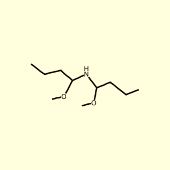 CCCC(NC(CCC)OC)OC